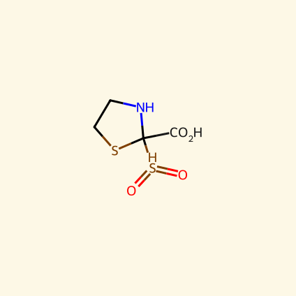 O=C(O)C1([SH](=O)=O)NCCS1